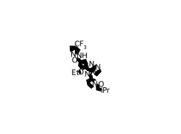 CCOc1cc(C(=O)Nc2cc(C(F)(F)F)ccn2)ccc1-c1nc(C2CCCN(C(=O)CC(C)C)C2)n2ccnc(N)c12